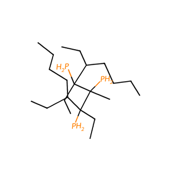 CCCCC(CC)C(P)(CC)C(C)(P)C(P)(CC)C(CC)CCCC